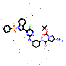 CC(C)(C)OC(=O)N1C[C@@H](N)C[C@H]1C(=O)NC1CCC[C@@H](Nc2ncc(Cl)c(-c3cn(S(=O)(=O)c4ccccc4)c4ccccc34)n2)C1